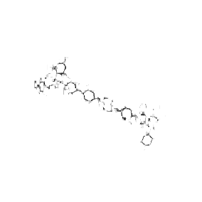 CC[C@@H]([C@H](C)OCc1ccccc1)n1ncn(-c2ccc(N3CCN(c4ccc(-c5ccc(C(F)(F)[C@](O)(Cn6cnnn6)c6ccc(F)cc6)nc5)cc4)CC3)cn2)c1=O